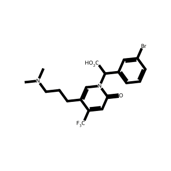 CN(C)CCCc1cn(C(C(=O)O)c2cccc(Br)c2)c(=O)cc1C(F)(F)F